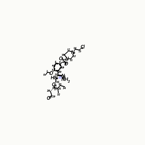 CCOc1ccc(S(=O)(=O)N2CCN(CCCl)CC2)cc1/C(=N/N)NCO[C@@H](CC=O)C(C)CC